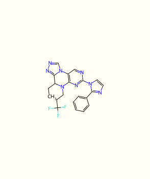 CCC1c2nncn2-c2cnc(-n3ccnc3-c3ccccc3)nc2N1CCC(F)(F)F